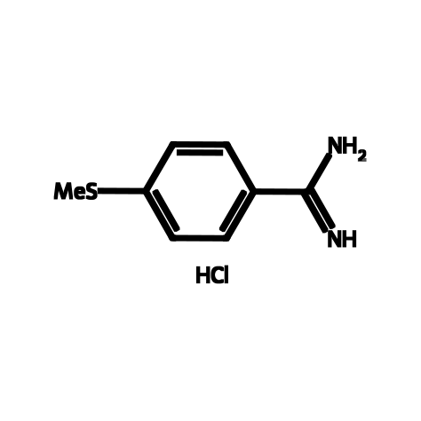 CSc1ccc(C(=N)N)cc1.Cl